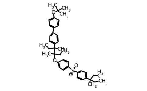 CCC(C)(CC)c1ccc(S(=O)(=O)c2ccc(OC(C)(CC)C(C)(CC)c3ccc(-c4ccc(OC(C)(C)C)cc4)cc3)cc2)cc1